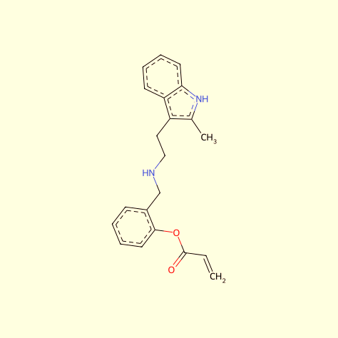 C=CC(=O)Oc1ccccc1CNCCc1c(C)[nH]c2ccccc12